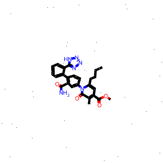 CCCCc1cc(C(=O)OC)c(C)c(=O)n1-c1ccc(-c2ccccc2-c2nnn[nH]2)c(C(N)=O)c1